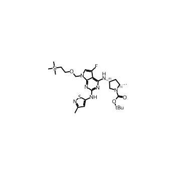 Cc1cc(Nc2nc(N[C@@H]3C[C@H](C)N(C(=O)OC(C)(C)C)C3)c3c(F)cn(COCC[Si](C)(C)C)c3n2)sn1